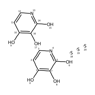 Oc1ccnc(O)c1O.Oc1ccnc(O)c1O.[S].[S].[S]